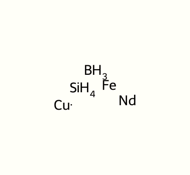 B.[Cu].[Fe].[Nd].[SiH4]